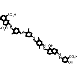 Cc1cc(N=Nc2cc(C)c(N=Nc3ccc4cc(N=Nc5ccc(O)c(C(=O)O)c5)ccc4c3O)cc2C)ccc1N=Nc1ccc(N=Nc2cc3c(S(=O)(=O)O)cccc3cc2S(=O)(=O)O)c(C)c1